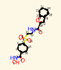 O=C(NO)c1ccc(S(=O)(=O)CCNC(=O)c2cc3ccccc3o2)cc1